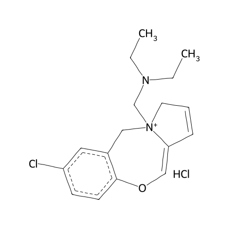 CCN(CC)C[N+]12CC=CC1=COc1ccc(Cl)cc1C2.Cl